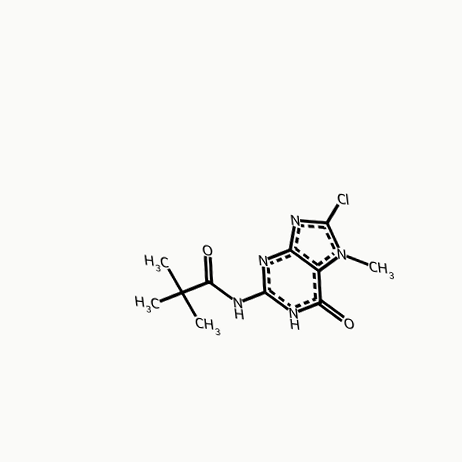 Cn1c(Cl)nc2nc(NC(=O)C(C)(C)C)[nH]c(=O)c21